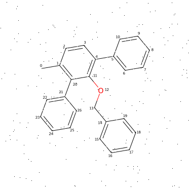 Cc1[c]cc(-c2ccccc2)c(OCc2ccccc2)c1-c1ccccc1